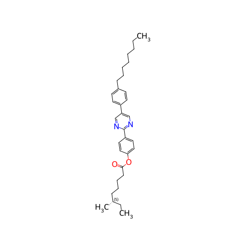 CCCCCCCCc1ccc(-c2cnc(-c3ccc(OC(=O)CCCC[C@@H](C)CC)cc3)nc2)cc1